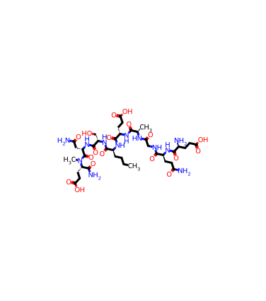 CCCC[C@H](NC(=O)[C@H](CCC(=O)O)NC(=O)[C@H](C)NC(=O)CNC(=O)[C@H](CCC(N)=O)NC(=O)[C@@H](N)CCC(=O)O)C(=O)N[C@@H](CO)C(=O)N[C@@H](CC(N)=O)C(=O)N(C)[C@@H](CCC(=O)O)C(N)=O